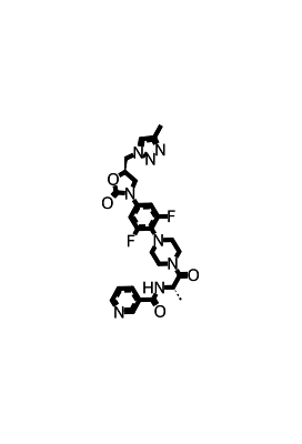 Cc1cn(C[C@H]2CN(c3cc(F)c(N4CCN(C(=O)[C@H](C)NC(=O)c5cccnc5)CC4)c(F)c3)C(=O)O2)nn1